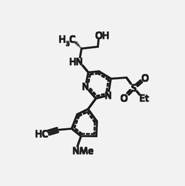 C#Cc1cc(-c2nc(CS(=O)(=O)CC)cc(N[C@H](C)CO)n2)ccc1NC